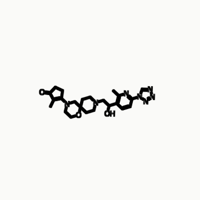 CC1=C(N2CCOC3(CCN(CC(O)c4ccc(-n5cnnn5)nc4C)CC3)C2)CCC1=O